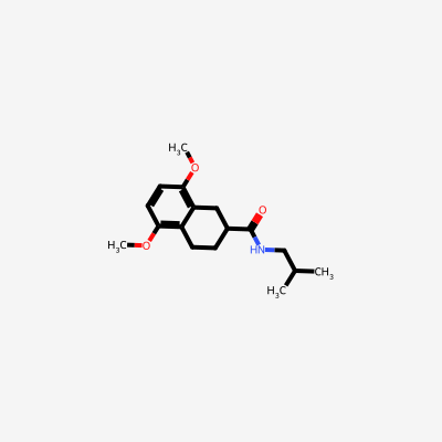 COc1ccc(OC)c2c1CCC(C(=O)NCC(C)C)C2